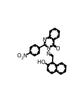 O=c1c2ccccc2nc(-c2ccc([N+](=O)[O-])cc2)n1/N=C/c1c(O)ccc2ccccc12